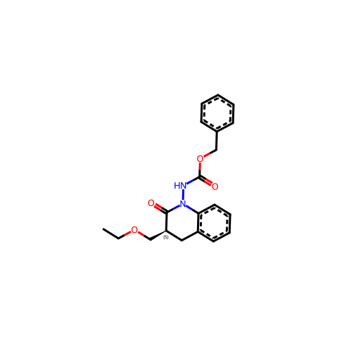 CCOC[C@@H]1Cc2ccccc2N(NC(=O)OCc2ccccc2)C1=O